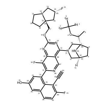 [2H]C([2H])([2H])OC(C)[C@@]12CC[C@@H](CN(c3nc(OC[C@@]45CCCN4C[C@H](F)C5)nc4c(F)c(-c5cc(O)cc6ccc(F)c(C#C)c56)ncc34)C1)N2